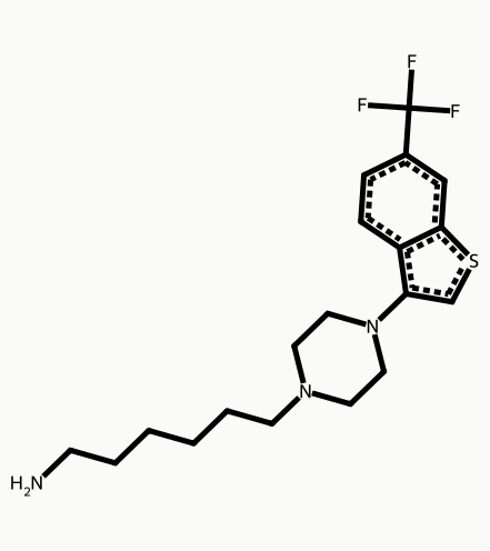 NCCCCCCN1CCN(c2csc3cc(C(F)(F)F)ccc23)CC1